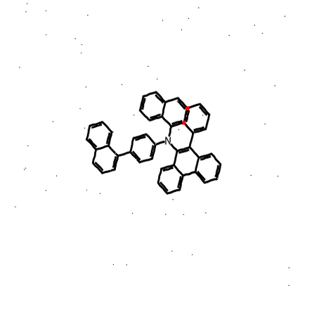 c1ccc(-c2c(N(c3ccc(-c4cccc5ccccc45)cc3)c3cccc4ccccc34)c3ccccc3c3ccccc23)cc1